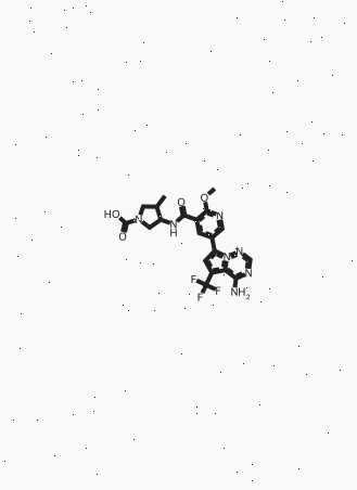 COc1ncc(-c2cc(C(F)(F)F)c3c(N)ncnn23)cc1C(=O)NC1CN(C(=O)O)CC1C